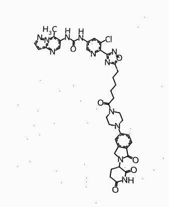 Cc1c(NC(=O)Nc2cnc(-c3noc(CCCCCC(=O)N4CCN(c5ccc6c(c5)CN(C5CCC(=O)NC5=O)C6=O)CC4)n3)c(Cl)c2)cnc2ccnn12